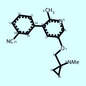 CNC1(COc2cnc(C)c(-c3cccc(C#N)c3)c2)CC1